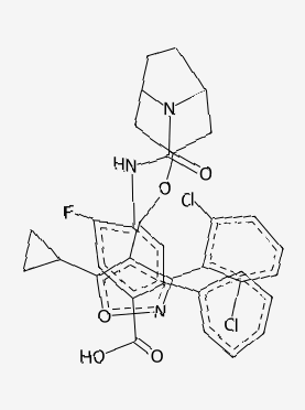 O=C(O)c1cc(F)c(NC(=O)N2C3CCC2CC(OCc2c(-c4c(Cl)cccc4Cl)noc2C2CC2)C3)cc1-c1ccccc1